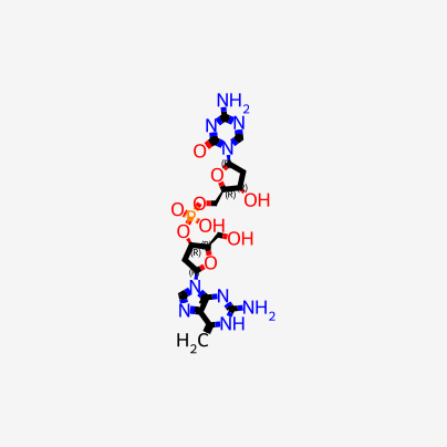 C=C1NC(N)=Nc2c1ncn2[C@H]1C[C@@H](OP(=O)(O)OC[C@H]2O[C@@H](n3cnc(N)nc3=O)C[C@H]2O)[C@@H](CO)O1